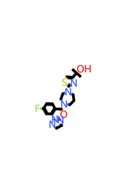 CC(C)(O)c1csc(N2CCCN(C(=O)c3ccc(F)cc3-n3nccn3)CC2)n1